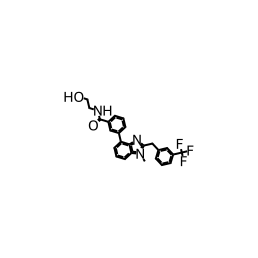 Cn1c(Cc2cccc(C(F)(F)F)c2)nc2c(-c3cccc(C(=O)NCCO)c3)cccc21